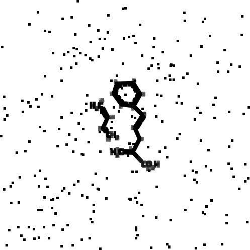 C=C(CC=Cc1ccccc1)C(=O)O.C=CC=C